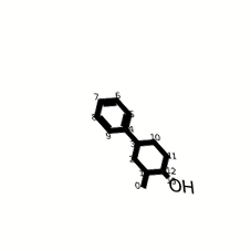 CC1CC(c2ccccc2)CCC1O